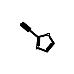 [C]#Cc1ncco1